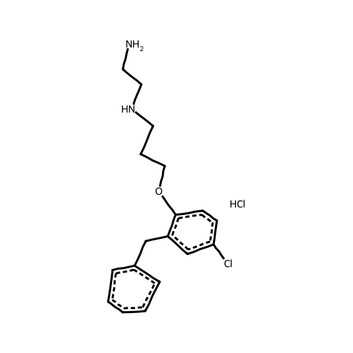 Cl.NCCNCCCOc1ccc(Cl)cc1Cc1ccccc1